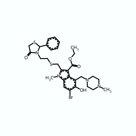 CCOC(=O)c1c(CSCCN2C(=O)CSC2c2ccccc2)n(C)c2cc(Br)c(O)c(CN3CCN(C)CC3)c12